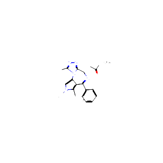 COC(=O)C[C@@H]1N=C(c2ccccc2)c2c(cn(C)c2C)-n2c(C)nnc21